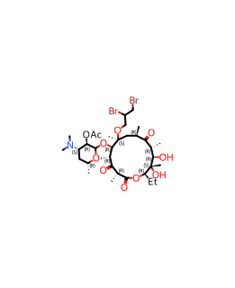 CC[C@H]1OC(=O)[C@H](C)C(=O)[C@H](C)[C@@H](OC2O[C@H](C)C[C@H](N(C)C)[C@H]2OC(C)=O)[C@@](C)(OCC(Br)CBr)C[C@@H](C)C(=O)[C@H](C)[C@@H](O)[C@]1(C)O